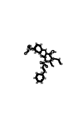 CCN(CC)C(=O)C(Cc1ccc([N+](=O)[O-])cc1)C(=O)NS(=O)(=O)/C=C/c1ccccc1